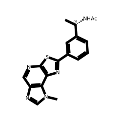 CC(=O)N[C@@H](C)c1cccc(-c2nc3c(ncc4ncn(C)c43)s2)c1